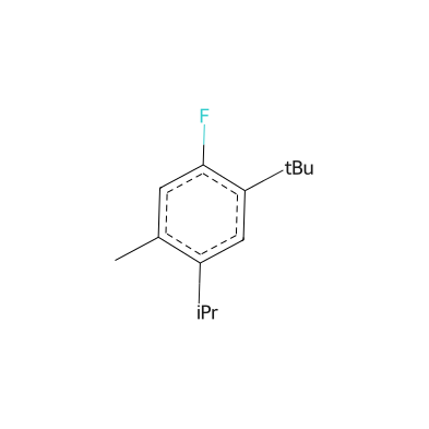 Cc1cc(F)c(C(C)(C)C)cc1C(C)C